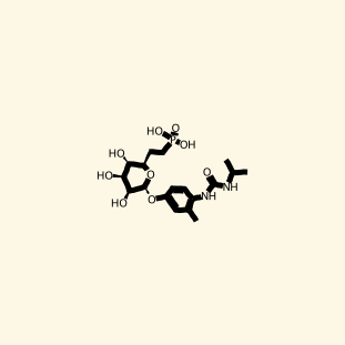 Cc1cc(O[C@H]2O[C@H](CCP(=O)(O)O)[C@@H](O)[C@H](O)[C@@H]2O)ccc1NC(=O)NC(C)C